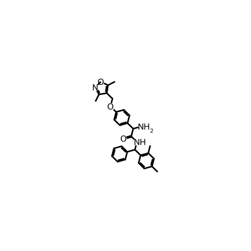 Cc1ccc(C(NC(=O)C(N)c2ccc(OCc3c(C)noc3C)cc2)c2ccccc2)c(C)c1